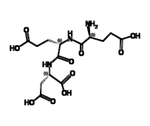 N[C@@H](CCC(=O)O)C(=O)N[C@@H](CCC(=O)O)C(=O)N[C@@H](CC(=O)O)C(=O)O